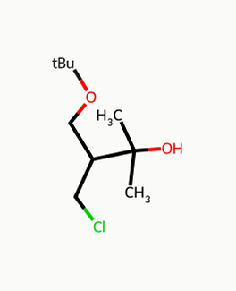 CC(C)(C)OCC(CCl)C(C)(C)O